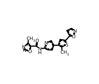 Cc1nnoc1C(=O)Nc1ccc(-c2cc(-c3ccno3)sc2C)cn1